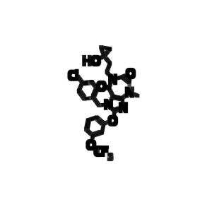 CN1c2nc(Oc3cccc(OC(F)(F)F)c3)n(Cc3ccc(Cl)cc3)c2C(=O)N(CCC2(O)CC2)C2OC21